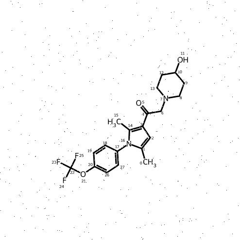 Cc1cc(C(=O)CN2CCC(O)CC2)c(C)n1-c1ccc(OC(F)(F)F)cc1